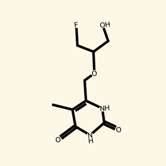 Cc1c(COC(CO)CF)[nH]c(=O)[nH]c1=O